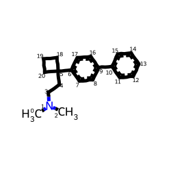 CN(C)CCC1(c2ccc(-c3ccccc3)cc2)CCC1